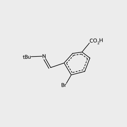 CC(C)(C)/N=C/c1cc(C(=O)O)ccc1Br